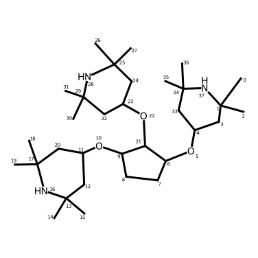 CC1(C)CC(OC2CCC(OC3CC(C)(C)NC(C)(C)C3)C2OC2CC(C)(C)NC(C)(C)C2)CC(C)(C)N1